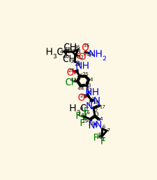 Cn1c(-c2cn(C3CC3(F)F)nc2C(F)(F)F)cnc1C(=O)Nc1ccc(C(=O)NCC2(OC(N)=O)CC2C(C)(C)C)c(Cl)c1